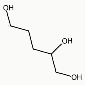 O[CH]CCC(O)CO